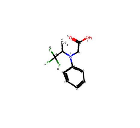 CC(N(CC(=O)O)c1ccccc1)C(F)(F)F